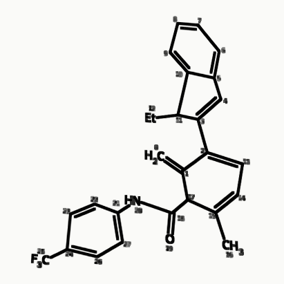 C=C1C(C2=Cc3ccccc3C2CC)=CC=C(C)C1C(=O)Nc1ccc(C(F)(F)F)cc1